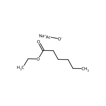 CC(=O)[O-].CCCCCC(=O)OCC.[Na+]